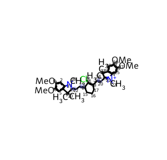 COc1cc2c(cc1OC)C(C)(C)/C(=C/C=C1\CCCC(/C=C/C3=[N+](C)c4cc(OC)c(OC)cc4C3(C)C)=C1Cl)N2C